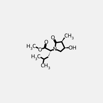 COC(=O)[C@@H](CC(C)C)N1C[C@H](O)[C@H](C)C1=O